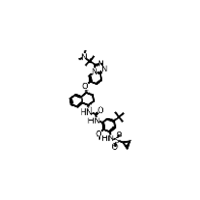 COc1c(NC(=O)N[C@H]2CC[C@@H](Oc3ccc4nnc(C(C)(C)N(C)C)n4c3)c3ccccc32)cc(C(C)(C)C)cc1NS(=O)(=O)C1CC1